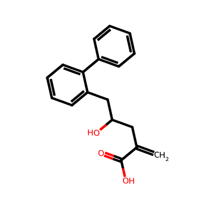 C=C(CC(O)Cc1ccccc1-c1ccccc1)C(=O)O